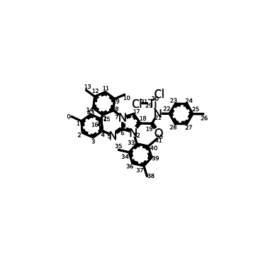 Cc1ccc(N=c2n(-c3c(C)cc(C)cc3C)cc(C(=O)[N](c3ccc(C)cc3)[Ti]([Cl])[Cl])n2-c2c(C)cc(C)cc2C)cc1